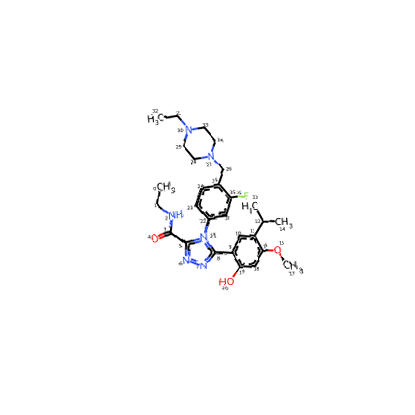 CCNC(=O)c1nnc(-c2cc(C(C)C)c(OC)cc2O)n1-c1ccc(CN2CCN(CC)CC2)c(F)c1